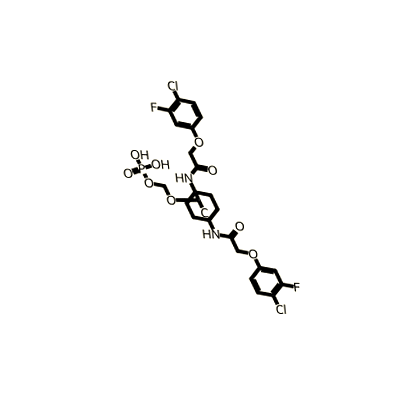 O=C(COc1ccc(Cl)c(F)c1)NC12CCC(NC(=O)COc3ccc(Cl)c(F)c3)(CC1)C(OCOP(=O)(O)O)C2